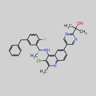 Cc1nc2ccc(-c3cnc(C(C)(C)O)nc3)cc2c(N[C@H](C)c2cc(Cc3ccccc3)ccc2F)c1Cl